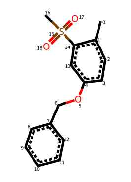 Cc1ccc(OCc2ccccc2)cc1S(C)(=O)=O